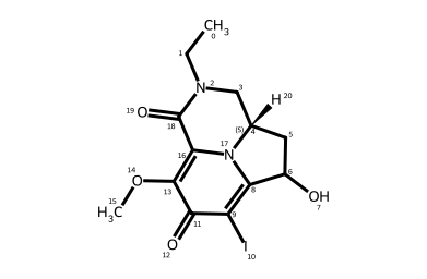 CCN1C[C@@H]2CC(O)c3c(I)c(=O)c(OC)c(n32)C1=O